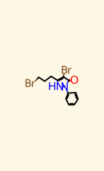 O=c1c(Br)c(CCCBr)[nH]n1-c1ccccc1